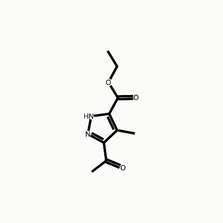 CCOC(=O)c1[nH]nc(C(C)=O)c1C